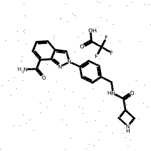 NC(=O)c1cccc2cn(-c3ccc(CNC(=O)C4CNC4)cc3)nc12.O=C(O)C(F)(F)F